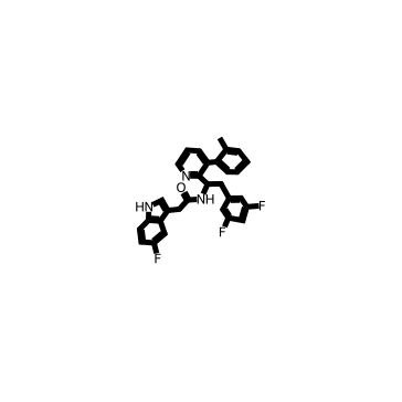 Cc1ccccc1-c1cccnc1C(Cc1cc(F)cc(F)c1)NC(=O)Cc1c[nH]c2ccc(F)cc12